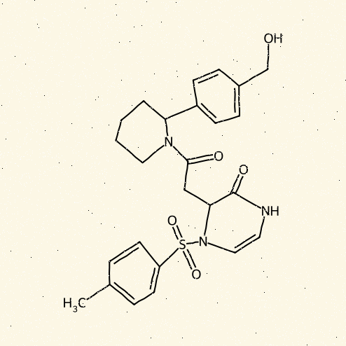 Cc1ccc(S(=O)(=O)N2C=CNC(=O)C2CC(=O)N2CCCCC2c2ccc(CO)cc2)cc1